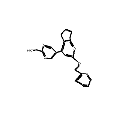 N#Cc1ncc(-c2cc(OCc3ccccn3)nc3c2CCC3)cn1